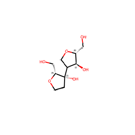 OC[C@H]1O[CH]C([C@@]2(O)C[CH]O[C@@H]2CO)[C@@H]1O